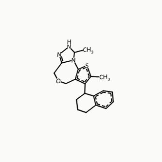 Cc1sc2c(c1C1CCCc3ccccc31)COCC1=NNC(C)N12